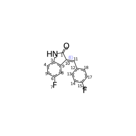 O=C1Nc2ccc(F)cc2/C1=C\c1ccc(F)cc1